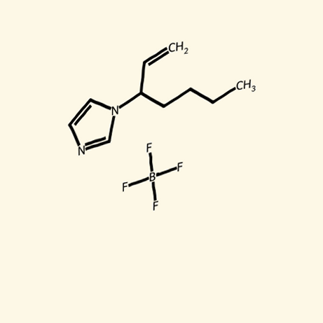 C=CC(CCCC)n1ccnc1.F[B-](F)(F)F